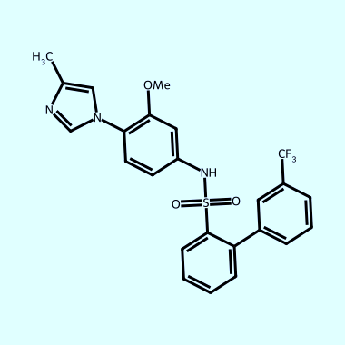 COc1cc(NS(=O)(=O)c2ccccc2-c2cccc(C(F)(F)F)c2)ccc1-n1cnc(C)c1